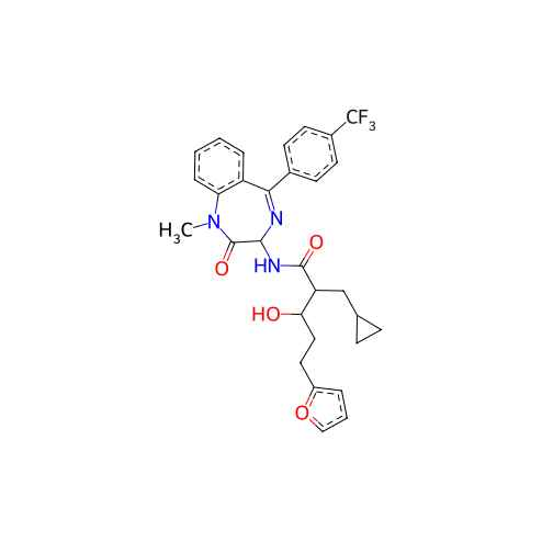 CN1C(=O)C(NC(=O)C(CC2CC2)C(O)CCc2ccco2)N=C(c2ccc(C(F)(F)F)cc2)c2ccccc21